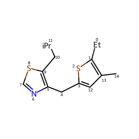 CCc1sc(Cc2ncsc2CC(C)C)cc1C